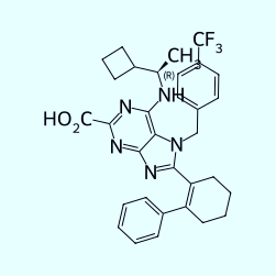 C[C@@H](Nc1nc(C(=O)O)nc2nc(C3=C(c4ccccc4)CCCC3)n(Cc3ccc(C(F)(F)F)cc3)c12)C1CCC1